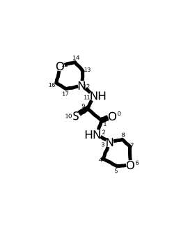 O=C(NN1CCOCC1)C(=S)NN1CCOCC1